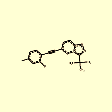 CC(C)(C)c1nnc2ccc(C#Cc3ccc(F)cc3F)nn12